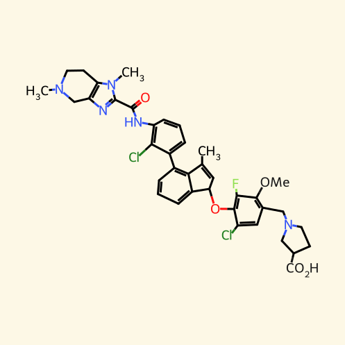 COc1c(CN2CCC(C(=O)O)C2)cc(Cl)c(OC2C=C(C)c3c(-c4cccc(NC(=O)c5nc6c(n5C)CCN(C)C6)c4Cl)cccc32)c1F